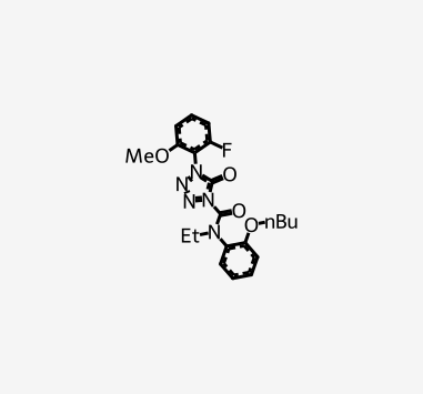 CCCCOc1ccccc1N(CC)C(=O)n1nnn(-c2c(F)cccc2OC)c1=O